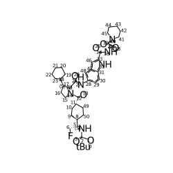 CC(C)(C)OC(=O)N[C@H](CF)[C@H]1CC[C@H](C(=O)N2CC[C@@H](C3CCCCC3)[C@H]2C(=O)Nc2ccc3[nH]c(C(=O)NS(=O)(=O)N4CCCCC4)cc3c2)CC1